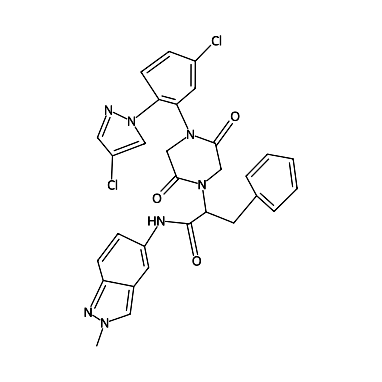 Cn1cc2cc(NC(=O)C(Cc3ccccc3)N3CC(=O)N(c4cc(Cl)ccc4-n4cc(Cl)cn4)CC3=O)ccc2n1